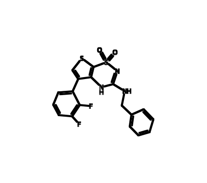 O=S1(=O)N=C(NCc2ccccc2)Nc2c(-c3cccc(F)c3F)csc21